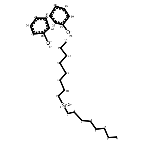 CCCCCCC[CH2][Sn+2][CH2]CCCCCCC.[O-]c1ccccc1.[O-]c1ccccc1